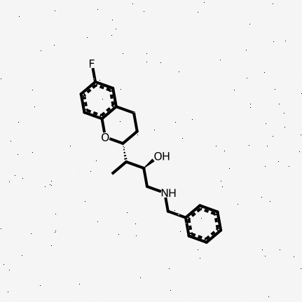 CC([C@@H](O)CNCc1ccccc1)[C@H]1CCc2cc(F)ccc2O1